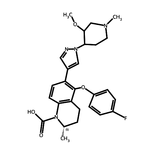 COC1CN(C)CCC1n1cc(-c2ccc3c(c2Oc2ccc(F)cc2)CC[C@H](C)N3C(=O)O)cn1